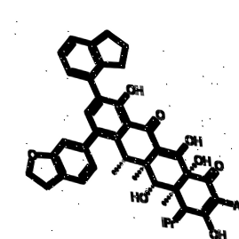 CC(=O)C1=C(O)C(C(C)C)[C@@]2(C)[C@H](O)[C@]3(C)C(=C(O)[C@@]2(O)C1=O)C(=O)c1c(O)c(-c2cccc4c2CCC4)cc(-c2ccc4c(c2)OCC4)c1[C@H]3C